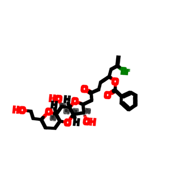 C=C(Br)CC(CCC(=O)CC1O[C@H]2[C@@H](O)[C@H]3OC(CCO)CCC3O[C@H]2[C@H]1O)OC(=O)c1ccccc1